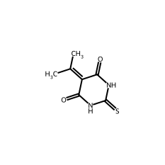 CC(C)=C1C(=O)NC(=S)NC1=O